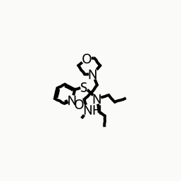 CCCN(CCC)C(CN1CCOCC1)(Sc1ccccn1)C(=O)NC